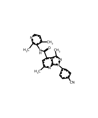 Cc1cc(C(=O)Nc2c(C)ccnc2C)c2c(C)nn(-c3ccc(C#N)cc3)c2n1